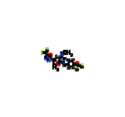 C=NC1=C(/C=C(\C)c2nnc(C(F)F)o2)C(=O)N(Cc2ccc(OC(F)F)cc2)C1